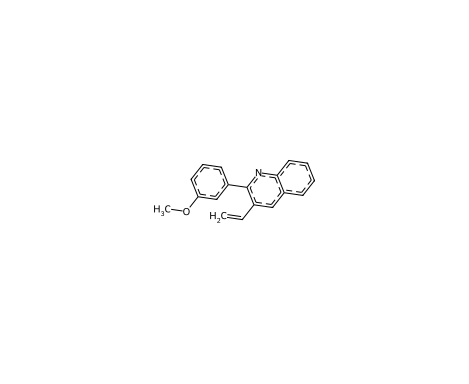 C=Cc1cc2ccccc2nc1-c1cccc(OC)c1